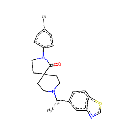 C[C@@H](c1ccc2scnc2c1)N1CCC2(CCN(c3ccc(C#N)cc3)C2=O)CC1